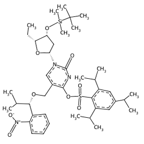 CC[C@H]1O[C@@H](n2cc(CO[C@H](c3ccccc3[N+](=O)[O-])C(C)C)c(OS(=O)(=O)c3c(C(C)C)cc(C(C)C)cc3C(C)C)nc2=O)C[C@H]1O[Si](C)(C)C(C)(C)C